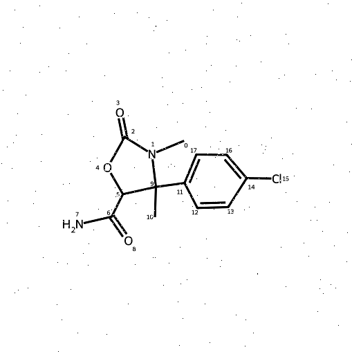 CN1C(=O)OC(C(N)=O)C1(C)c1ccc(Cl)cc1